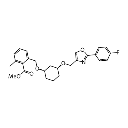 COC(=O)c1c(C)cccc1CO[C@@H]1CCC[C@H](OCc2coc(-c3ccc(F)cc3)n2)C1